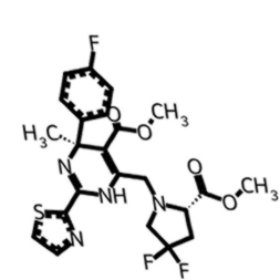 COC(=O)C1=C(CN2CC(F)(F)C[C@H]2C(=O)OC)NC(c2nccs2)=N[C@@]1(C)c1ccc(F)cc1